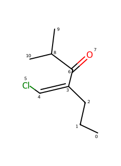 CCCC(=CCl)C(=O)C(C)C